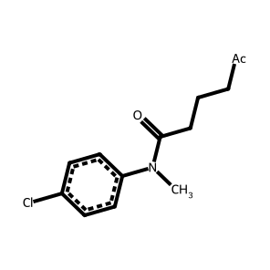 CC(=O)CCCC(=O)N(C)c1ccc(Cl)cc1